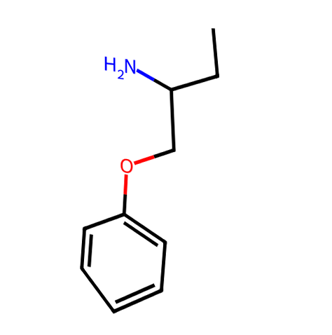 CCC(N)COc1ccccc1